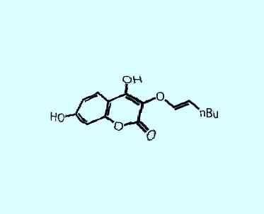 CCCC/C=C/Oc1c(O)c2ccc(O)cc2oc1=O